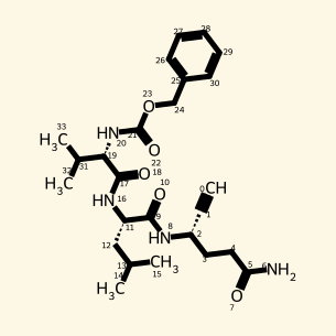 C#C[C@H](CCC(N)=O)NC(=O)[C@H](CC(C)C)NC(=O)[C@@H](NC(=O)OCc1ccccc1)C(C)C